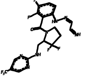 N=C/C=N\Nc1ccc(F)c(F)c1C(=O)N1CCC(F)(F)C1CNc1ncc(C(F)(F)F)cn1